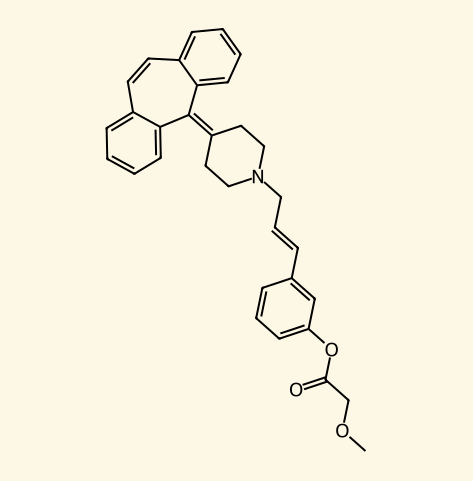 COCC(=O)Oc1cccc(C=CCN2CCC(=C3c4ccccc4C=Cc4ccccc43)CC2)c1